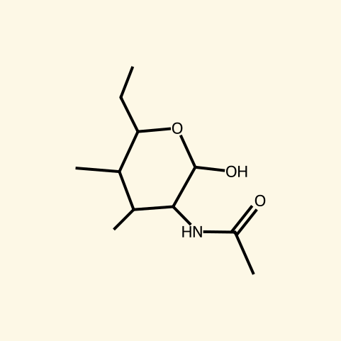 CCC1OC(O)C(NC(C)=O)C(C)C1C